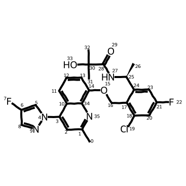 Cc1cc(-n2cc(F)cn2)c2cccc(OCc3c(Cl)cc(F)cc3[C@H](C)NC(=O)C(C)(C)O)c2n1